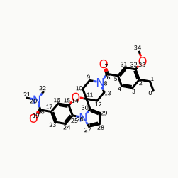 CCc1ccc(C(=O)N2CCC3(CC2)Oc2cc(C(=O)N(C)C)ccc2-n2cccc23)cc1OC